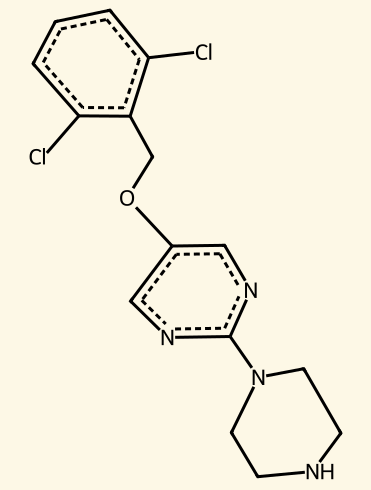 Clc1cccc(Cl)c1COc1cnc(N2CCNCC2)nc1